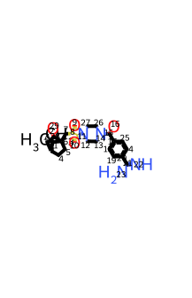 CC1(C)C2CCC1(CS(=O)(=O)N1CCN(C(=O)c3ccc(C(=N)N)cc3)CC1)C(=O)C2